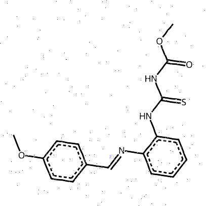 COC(=O)NC(=S)Nc1ccccc1/N=C/c1ccc(OC)cc1